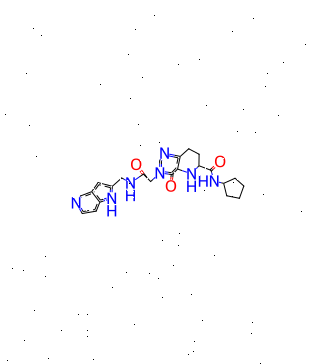 O=C(Cn1cnc2c(c1=O)NC(C(=O)NC1CCCC1)CC2)NCc1cc2cnccc2[nH]1